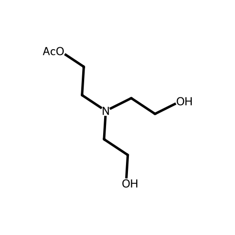 CC(=O)OCCN(CCO)CCO